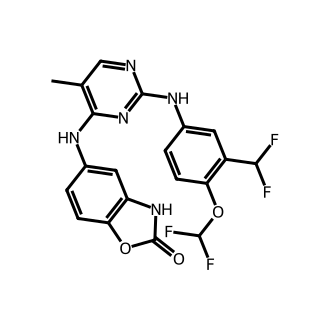 Cc1cnc(Nc2ccc(OC(F)F)c(C(F)F)c2)nc1Nc1ccc2oc(=O)[nH]c2c1